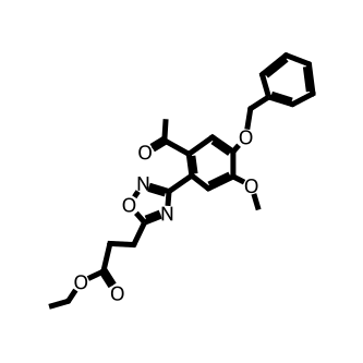 CCOC(=O)CCc1nc(-c2cc(OC)c(OCc3ccccc3)cc2C(C)=O)no1